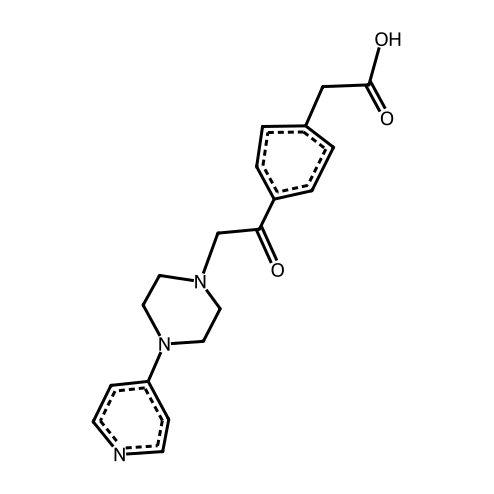 O=C(O)Cc1ccc(C(=O)CN2CCN(c3ccncc3)CC2)cc1